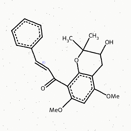 COc1cc(OC)c(C(=O)/C=C/c2ccccc2)c2c1CC(O)C(C)(C)O2